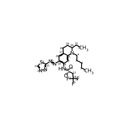 CCCCCN1c2cc(NS(=O)(=O)CC(F)(F)F)c(N=Nc3nncs3)cc2CCC1CC